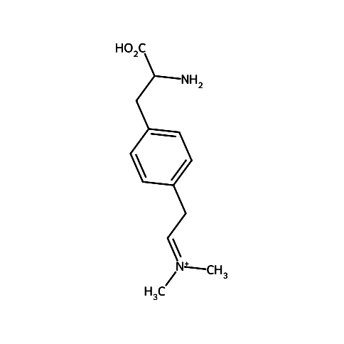 C[N+](C)=CCc1ccc(CC(N)C(=O)O)cc1